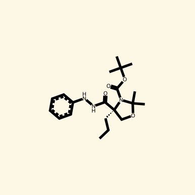 CCC[C@@]1(C(=O)NNc2ccccc2)COC(C)(C)N1C(=O)OC(C)(C)C